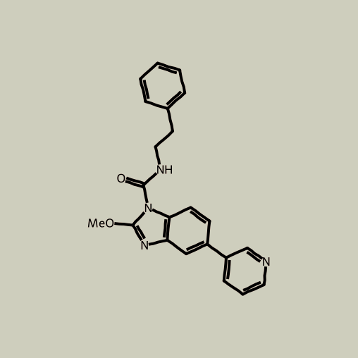 COc1nc2cc(-c3cccnc3)ccc2n1C(=O)NCCc1ccccc1